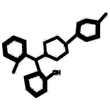 Cc1ccc(N2CCN(C(c3ccccc3C)c3ccccc3O)CC2)cc1